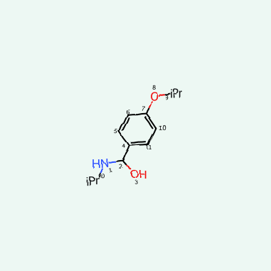 CC(C)NC(O)c1ccc(OC(C)C)cc1